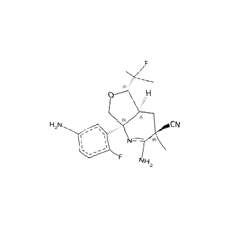 CC(C)(F)[C@H]1OC[C@]2(c3cc(N)ccc3F)N=C(N)[C@](C)(C#N)C[C@H]12